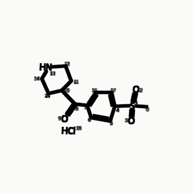 CS(=O)(=O)c1ccc(C(=O)C2CCNCC2)cc1.Cl